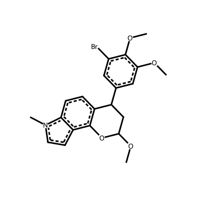 COc1cc(C2CC(OC)Oc3c2ccc2c3ccn2C)cc(Br)c1OC